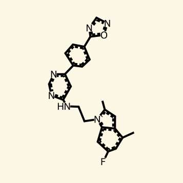 Cc1cc(F)cc2c1cc(C)n2CCNc1cc(-c2ccc(-c3ncno3)cc2)ncn1